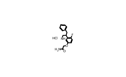 Cl.NCC(Cc1ccccc1)c1cc(OCC(N)=O)ccc1F